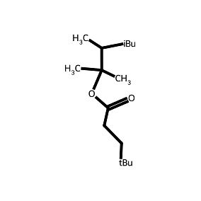 CCC(C)C(C)C(C)(C)OC(=O)CCC(C)(C)C